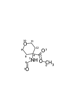 COC(=O)C1(NC=O)CCOCC1